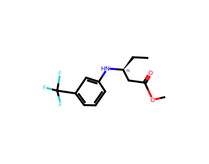 CC[C@@H](CC(=O)OC)Nc1cccc(C(F)(F)F)c1